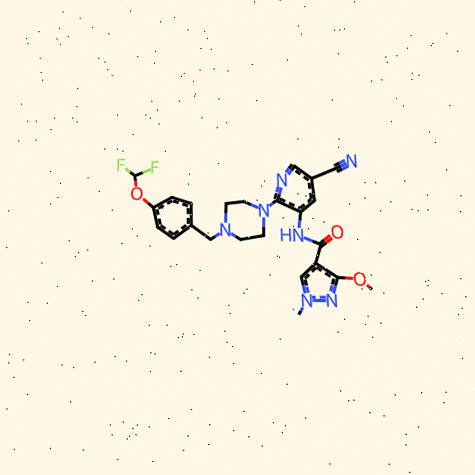 COc1nn(C)cc1C(=O)Nc1cc(C#N)cnc1N1CCN(Cc2ccc(OC(F)F)cc2)CC1